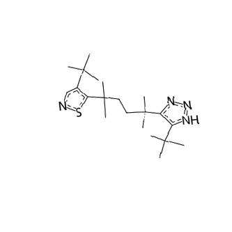 CC(C)(C)c1cnsc1C(C)(C)CCC(C)(C)c1nn[nH]c1C(C)(C)C